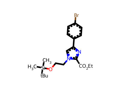 CCOC(=O)c1nc(-c2ccc(Br)cc2)cn1CCO[Si](C)(C)C(C)(C)C